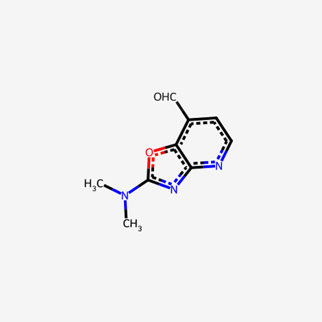 CN(C)c1nc2nccc(C=O)c2o1